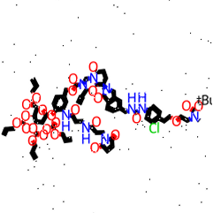 C#CCN(CN1C(=O)CCC(N2Cc3cc(CNC(=O)Nc4ccc(CCOCCN(C)C(=O)OC(C)(C)C)c(Cl)c4)ccc3C2=O)C1=O)C(=O)OCc1ccc(O[C@@H]2O[C@H](C(=O)OCC=C)[C@@H](OC(=O)OCC=C)[C@H](OC(=O)OCC=C)[C@H]2OC(=O)OCC=C)c(NC(=O)CCNC(=O)CCN2C(=O)C=CC2=O)c1